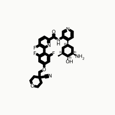 C[C@H]1C[C@@H](c2ccncc2NC(=O)c2ccc(F)c(-c3c(F)cc(OCC4(C#N)CCOCC4)cc3F)n2)C[C@@H](N)[C@@H]1O